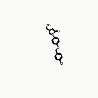 O=C1CC(CO)CN1c1ccc(OCc2ccc(Cl)cc2)cc1